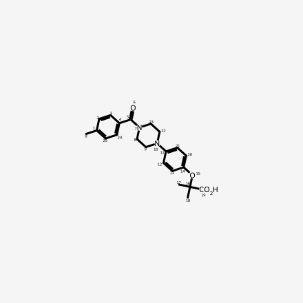 Cc1ccc(C(=O)N2CCN(c3ccc(OC(C)(C)C(=O)O)cc3)CC2)cc1